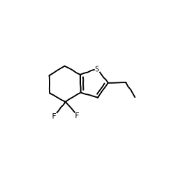 CCc1cc2c(s1)CCCC2(F)F